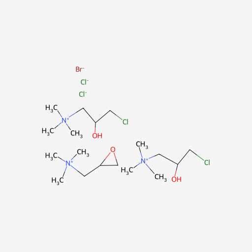 C[N+](C)(C)CC(O)CCl.C[N+](C)(C)CC(O)CCl.C[N+](C)(C)CC1CO1.[Br-].[Cl-].[Cl-]